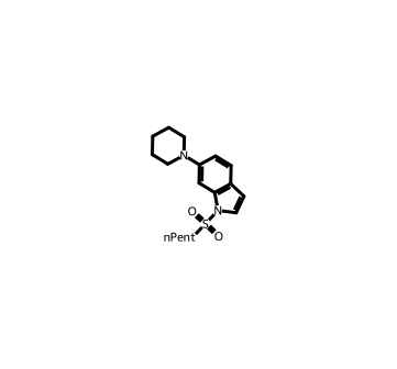 CCCCCS(=O)(=O)n1ccc2ccc(N3CCCCC3)cc21